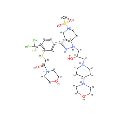 CS(=O)(=O)N1CCc2c(c(-c3ccc(C(F)(F)F)c(SCC(=O)N4CCOCC4)c3)nn2CC(O)CN2CCC(N3CCOCC3)CC2)C1